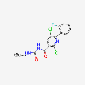 CC(C)(C)CNC(=O)NC(=O)c1cc(Cl)c(-c2ccccc2F)nc1Cl